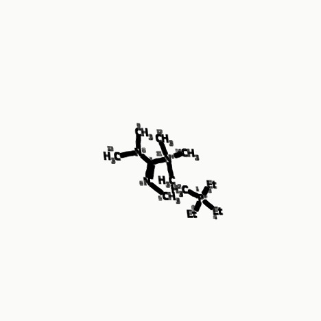 CC[P+](C)(CC)CC.CN=C(N(C)C)[N+](C)(C)C